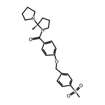 C[C@@]1(N2CCCC2)CCCN1C(=O)c1ccc(OCc2ccc(S(C)(=O)=O)cc2)cc1